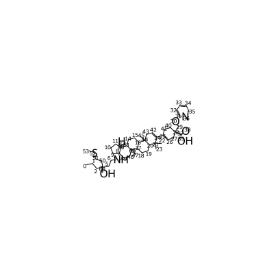 CCC[C@@](O)(CCNC12CCC[C@@H]1C1CCC3C(CCC4C(C)(C)C(C5=CCC(COc6ccccn6)(C(=O)O)CC5)=CCC34C)[C@]1(C)CC2)CCSC